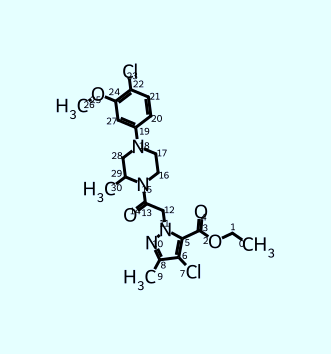 CCOC(=O)c1c(Cl)c(C)nn1CC(=O)N1CCN(c2ccc(Cl)c(OC)c2)CC1C